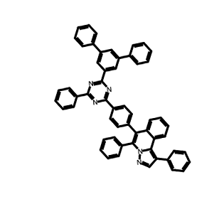 c1ccc(-c2cc(-c3ccccc3)cc(-c3nc(-c4ccccc4)nc(-c4ccc(-c5c(-c6ccccc6)n6ncc(-c7ccccc7)c6c6ccccc56)cc4)n3)c2)cc1